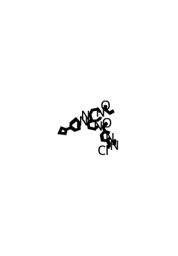 C=CC(=O)N1CCc2nn(-c3ccc(C4CCC4)cc3)c3c2C(C1)N(C(=O)c1ccc2c(Cl)ncn2c1)CC3